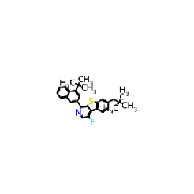 CC(C)(C)Cc1ccc2c(c1)sc1c(-c3cc(C(C)(C)C)c4ccccc4c3)ncc(F)c12